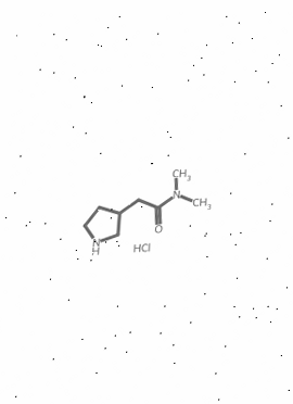 CN(C)C(=O)CC1CCNC1.Cl